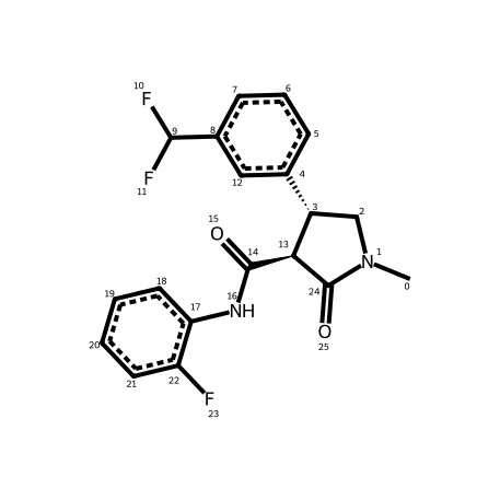 CN1C[C@@H](c2cccc(C(F)F)c2)[C@H](C(=O)Nc2ccccc2F)C1=O